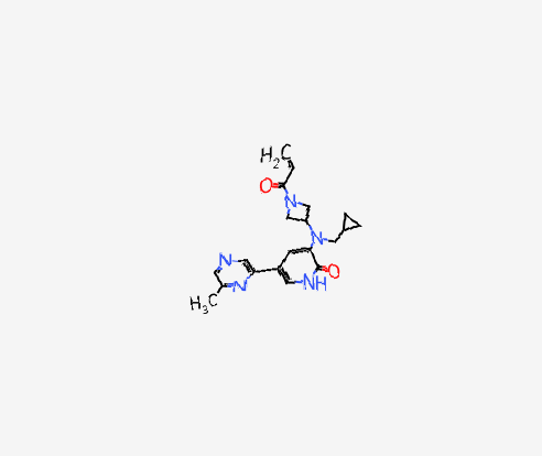 C=CC(=O)N1CC(N(CC2CC2)c2cc(-c3cncc(C)n3)c[nH]c2=O)C1